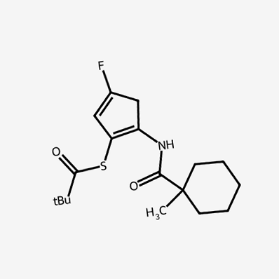 CC(C)(C)C(=O)SC1=C(NC(=O)C2(C)CCCCC2)CC(F)=C1